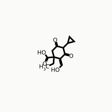 CCC1(C(=O)O)CC(=O)C(C2CC2)C(=O)C1=CO